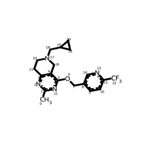 Cc1nc2c(c(OCc3ccc(C(F)(F)F)nc3)n1)CN(CC1CC1)CC2